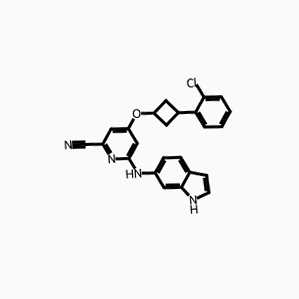 N#Cc1cc(OC2CC(c3ccccc3Cl)C2)cc(Nc2ccc3cc[nH]c3c2)n1